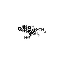 C#CCOC(C)[C@H](NC(=O)OCC=C)C(=O)N1CCC[C@H]1Cn1nnnc1N(C)Cc1ccccc1